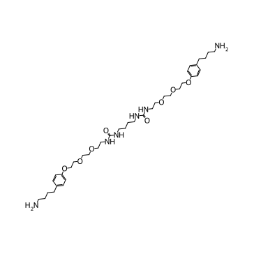 NCCCCc1ccc(OCCOCCOCCNC(=O)NCCCCNC(=O)NCCOCCOCCOc2ccc(CCCCN)cc2)cc1